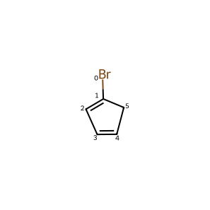 BrC1=CC=CC1